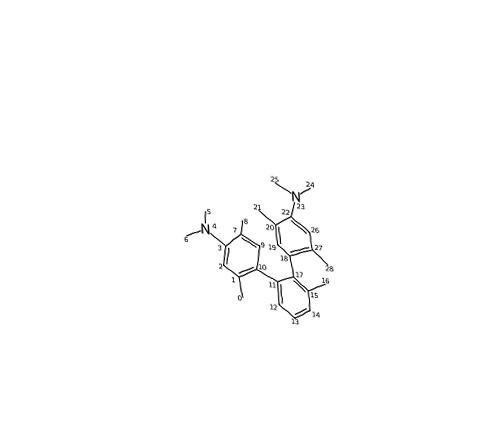 Cc1cc(N(C)C)c(C)cc1-c1cccc(C)c1-c1cc(C)c(N(C)C)cc1C